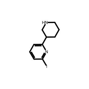 Ic1cccc(C2CCCNC2)n1